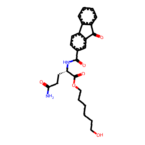 NC(=O)CC[C@H](NC(=O)c1ccc2c(c1)C(=O)c1ccccc1-2)C(=O)OCCCCCCO